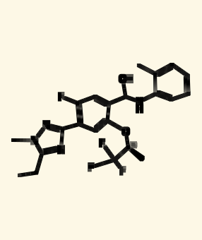 CCc1nc(-c2cc(O[C@@H](C)C(F)(F)F)c(C(O)Nc3ccccc3C)cc2F)nn1C